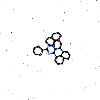 c1ccc(-c2nc(-c3ccccc3)nc(-c3cccc4cccc(-c5ccc6ccccc6c5)c34)n2)cc1